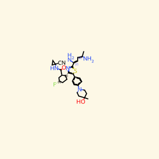 C/C(N)=C/C=C(\N)c1nc([C@@H]2CC[C@H](F)CC2C(=O)NC2(C#N)CC2)c(-c2ccc(N3CCC(C)(O)CC3)cc2)s1